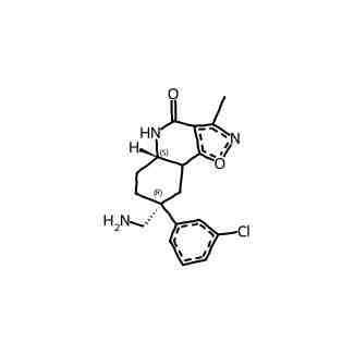 Cc1noc2c1C(=O)N[C@H]1CC[C@](CN)(c3cccc(Cl)c3)CC21